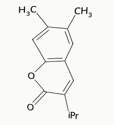 Cc1cc2cc(C(C)C)c(=O)oc2cc1C